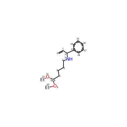 C=CC(NCCC[CH2][Ti]([O]CC)[O]CC)c1ccccc1